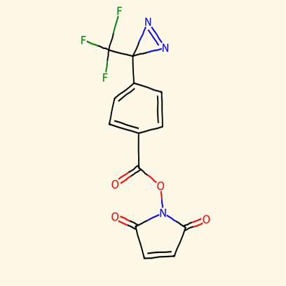 O=C(ON1C(=O)C=CC1=O)c1ccc(C2(C(F)(F)F)N=N2)cc1